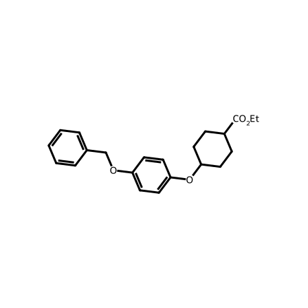 CCOC(=O)C1CCC(Oc2ccc(OCc3ccccc3)cc2)CC1